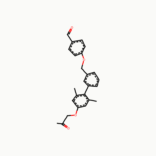 CC(=O)COc1cc(C)c(-c2cccc(COc3ccc(C=O)cc3)c2)c(C)c1